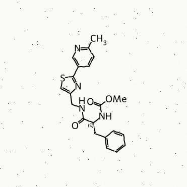 COC(=O)N[C@@H](Cc1ccccc1)C(=O)NCc1csc(-c2ccc(C)nc2)n1